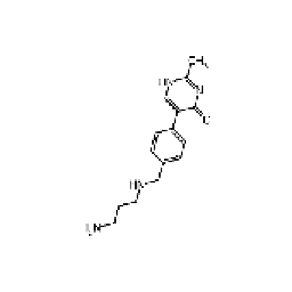 Cc1nc(=O)c(-c2ccc(CNCCCN)cc2)c[nH]1